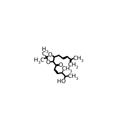 C=C(C)/C=C/CC1OC(C)(C)OC1C(=O)/C=C\[C@@H](C)C(C)O